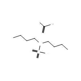 CCC[CH2][Sb]([CH2]CCC)[S](=O)(=O)O.NC(=O)O